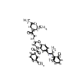 C/C(=C\c1ccc2c(c1)N(S(=O)(=O)c1cccc(C)c1)C[C@H](CCC(=O)N1C[C@@H](C)O[C@@H](C)C1)O2)c1c(F)cccc1Cl